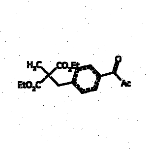 CCOC(=O)C(C)(Cc1ccc(C(=O)C(C)=O)cc1)C(=O)OCC